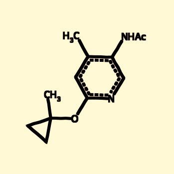 CC(=O)Nc1cnc(OC2(C)CC2)cc1C